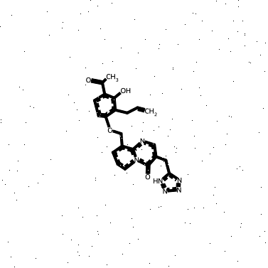 C=CCc1c(OCc2cccn3c(=O)c(Cc4nnn[nH]4)cnc23)ccc(C(C)=O)c1O